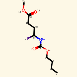 CCCCOC(=O)NC(I)CCC(=O)OC